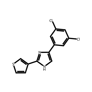 Clc1cc(Cl)cc(-c2c[nH]c(-c3ccsc3)n2)c1